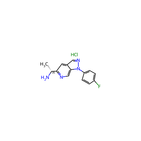 C[C@@H](N)c1cc2cnn(-c3ccc(F)cc3)c2cn1.Cl